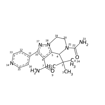 CC(C)(C)C1c2c(C(N)=O)c(-c3ccncc3)nn2CCN1C(N)=O